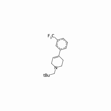 CC(C)(C)CN1CC=C(c2cccc(C(F)(F)F)c2)CC1